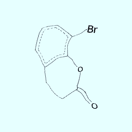 O=C1CCc2cccc(Br)c2O1